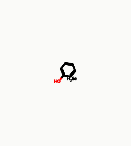 Oc1ccccc1.[SeH2]